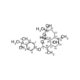 C[C@H]1C(Oc2ccc(C(C)(C)C)cc2)O[C@@H]2O[C@](C)(O)CCC3[C@H](C)CCC1[C@]32O